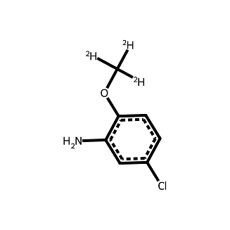 [2H]C([2H])([2H])Oc1ccc(Cl)cc1N